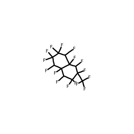 FC1C(F)(F)C(F)(F)C(F)C2(F)C(F)C(F)(C(F)(F)F)C(F)(F)C(F)C12F